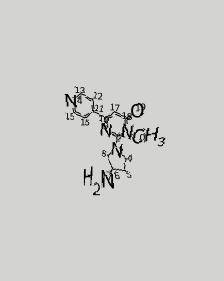 Cn1c(N2CC[C@@H](N)C2)nc(-c2ccncc2)cc1=O